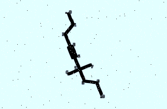 [CH2]CCC#CC(C)(C)CCC